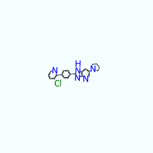 Clc1cccnc1-c1ccc(-c2nc3ncc(N4CCCC4)cc3[nH]2)cc1